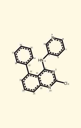 Clc1nc(Nc2cccnc2)c2c(-c3ccccc3)cccc2n1